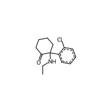 CCNC1(c2ccccc2Cl)CCCCC1=O